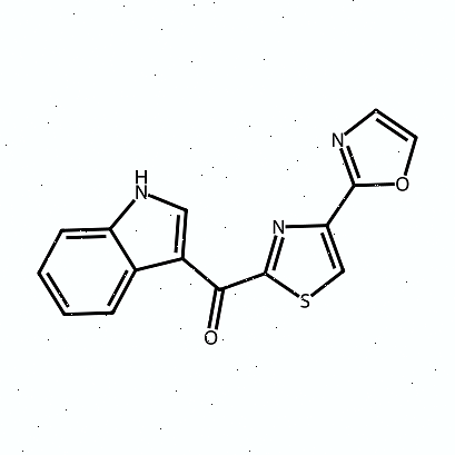 O=C(c1nc(-c2ncco2)cs1)c1c[nH]c2ccccc12